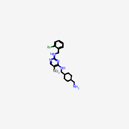 NCC1CCC(CNc2nc(NCc3ccccc3Br)ncc2[N+](=O)[O-])CC1